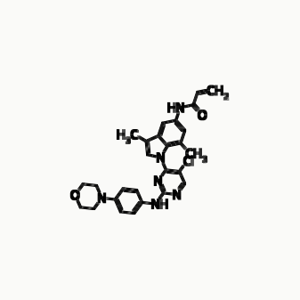 C=CC(=O)Nc1cc(C)c2c(c1)c(C)cn2-c1nc(Nc2ccc(N3CCOCC3)cc2)ncc1Cl